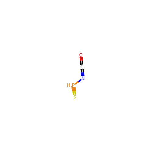 O=C=N[PH2]=S